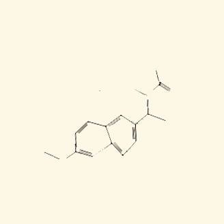 COc1ccc2cc(C(C)N(O)C(N)=O)ccc2c1.[K]